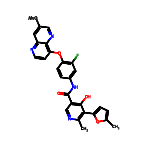 COc1cnc2c(Oc3ccc(NC(=O)c4cnc(C)c(-c5ccc(C)o5)c4O)cc3F)ccnc2c1